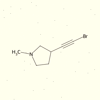 CN1CCC(C#CBr)C1